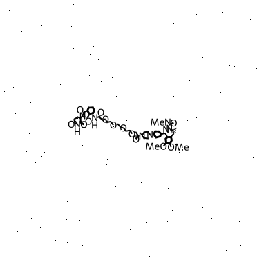 CNC(=O)N1N=C(c2ccc(N3CCN(C(=O)COCCOCCOCCOCC(=O)Nc4cccc5c4C(=O)N(C4CCC(=O)NC4=O)C5=O)CC3)cc2)c2cc(OC)c(OC)cc2C[C@@H]1C